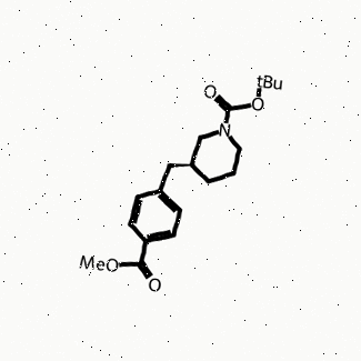 COC(=O)c1ccc(C[C@@H]2CCCN(C(=O)OC(C)(C)C)C2)cc1